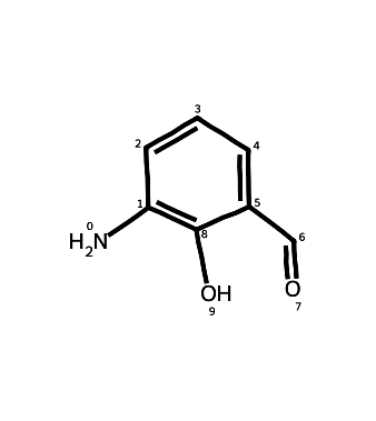 Nc1cccc(C=O)c1O